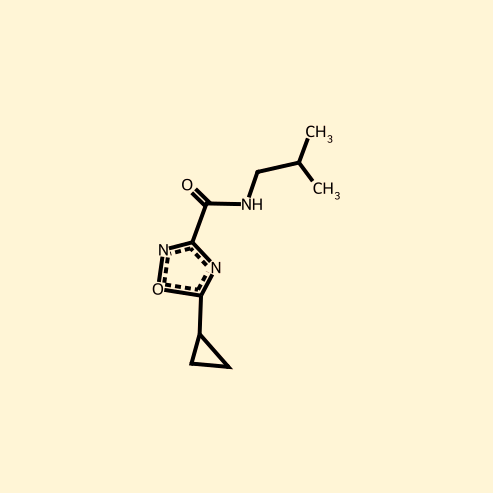 CC(C)CNC(=O)c1noc(C2CC2)n1